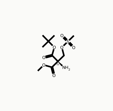 COC(=O)[C@@](N)(COS(C)(=O)=O)C(=O)OC(C)(C)C